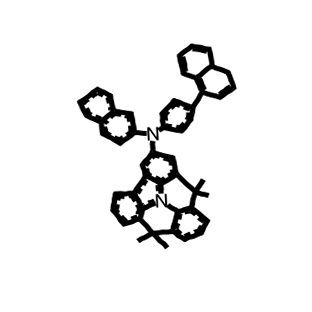 CC1(C)c2cccc3c2-n2c4c1cccc4c1cc(N(c4ccc(C5=C6C=CC=CC6CC=C5)cc4)c4ccc5ccccc5c4)cc(c12)C3(C)C